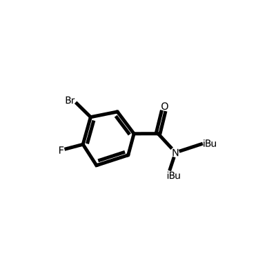 CCC(C)N(C(=O)c1ccc(F)c(Br)c1)C(C)CC